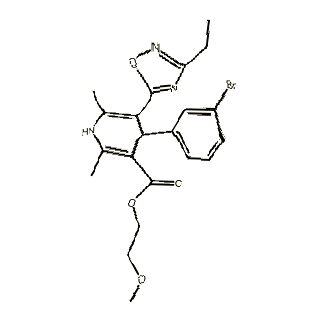 CCc1noc(C2=C(C)NC(C)=C(C(=O)OCCOC)C2c2cccc(Br)c2)n1